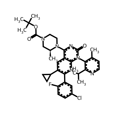 Cc1ccnc(C(C)C)c1-n1c(=O)nc(N2CCN(C(=O)OC(C)(C)C)C[C@@H]2C)c2cc(C3CC3)c(-c3cc(Cl)ccc3F)nc21